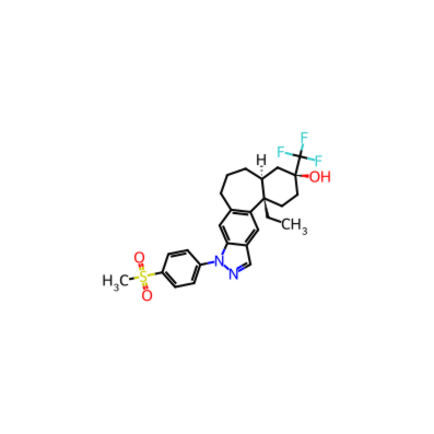 CC[C@]12CC[C@@](O)(C(F)(F)F)C[C@@H]1CCCc1cc3c(cnn3-c3ccc(S(C)(=O)=O)cc3)cc12